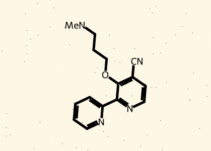 CNCCCOc1c(C#N)ccnc1-c1ccccn1